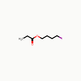 CCC(=O)OCCCCI